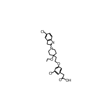 CCOC1(CCOc2cc(Cl)cc(CC(=O)O)c2)CCN(C2=Nc3ccc(Cl)cc3C2)CC1